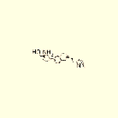 Cn1ccc(CC[C@@H]2CCc3cc([C@H]4CC[C@](N)(CO)C4)ccc3C2)n1